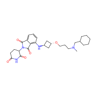 CN(CCCO[C@H]1C[C@H](Nc2cccc3c2C(=O)N(C2CCC(=O)NC2=O)C3=O)C1)CC1CCCCC1